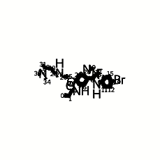 C=CC(=O)Nc1cc2c(Nc3ccc(Br)cc3F)ncnc2cc1OCCNCCC(C)N(C)C